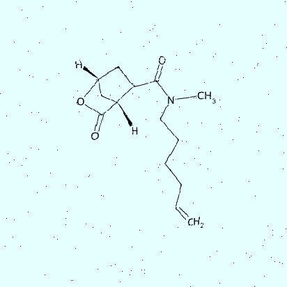 C=CCCCCN(C)C(=O)C1C[C@@H]2C[C@H]1C(=O)O2